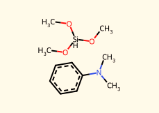 CN(C)c1ccccc1.CO[SiH](OC)OC